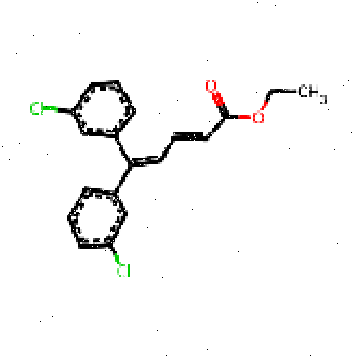 CCOC(=O)C=CC=C(c1cccc(Cl)c1)c1cccc(Cl)c1